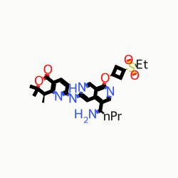 CCC[C@@H](N)c1cnc(O[C@H]2C[C@@H](S(=O)(=O)CC)C2)c2cnc(Nc3ccc4c(n3)[C@@H](C)C(C)(C)OC4=O)cc12